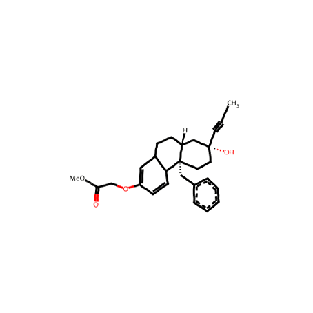 CC#C[C@@]1(O)CC[C@@]2(Cc3ccccc3)C3C=CC(OCC(=O)OC)=CC3CC[C@@H]2C1